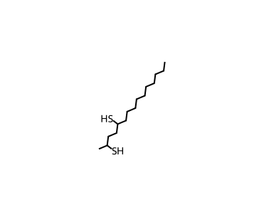 CCCCCCCCCCC(S)CCC(C)S